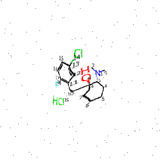 CN(C)[C@@H]1CCCC[C@]1(O)Cc1cc(Cl)ccc1F.Cl